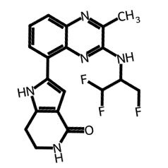 Cc1nc2cccc(-c3cc4c([nH]3)CCNC4=O)c2nc1NC(CF)C(F)F